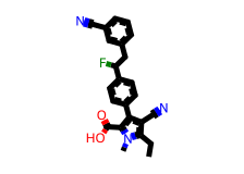 CCc1c(C#N)c(-c2ccc(C(F)Cc3cccc(C#N)c3)cc2)c(C(=O)O)n1C